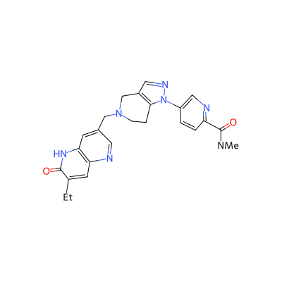 CCc1cc2ncc(CN3CCc4c(cnn4-c4ccc(C(=O)NC)nc4)C3)cc2[nH]c1=O